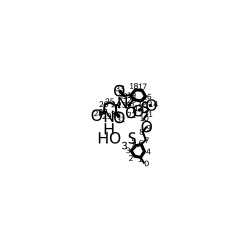 Cc1ccc(S(=O)(=O)O)c(CCOCCS(=O)(=O)c2cccc3c2C(=O)N(C2CCC(=O)NC2=O)C3=O)c1